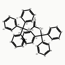 O=C(OC(c1ccccc1)(c1ccccc1)c1ccccc1)OC(c1ccccc1)(c1ccccc1)c1ccccc1